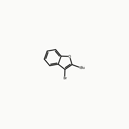 CC(C)(C)c1oc2ccccc2c1Br